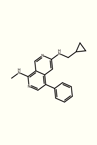 CNc1ncc(-c2ccccc2)c2cc(NCC3CC3)ncc12